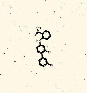 O=C(O)c1ccccc1Nc1ccc(-c2cccc(Br)c2)c(Cl)c1